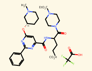 CCOC(=O)N1CCN(C(=O)C(CCC(=O)O)NC(=O)c2cc(O[C@H]3CCCN(C)C3)nc(-c3ccccc3)n2)CC1.O=C(O)C(F)(F)F